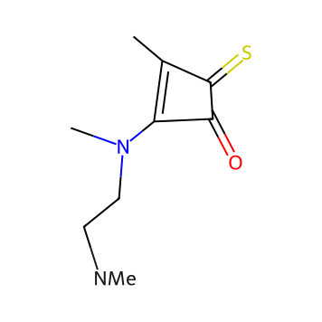 CNCCN(C)c1c(C)c(=S)c1=O